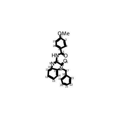 COc1ccc(C(=O)Nc2nc3ccccc3n(Cc3ccccc3)c2=O)cc1